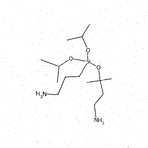 CC(C)O[Si](CCCN)(OC(C)C)OC(C)(C)CCN